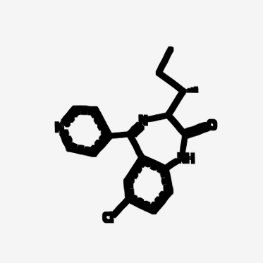 CC[C@H](C)C1N=C(c2ccncc2)c2cc(Cl)ccc2NC1=O